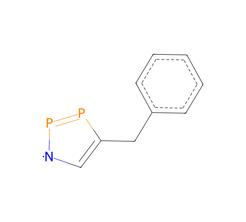 C1=C(Cc2ccccc2)P=P[N]1